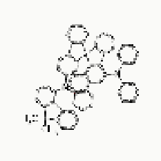 CC1(C)c2ccccc2-c2c(N(c3ccccc3)c3ccc4c(c3)C3(c5ccccc5-4)c4ccccc4-c4c(N(c5ccccc5)c5ccccc5)cc5ccccc5c43)cccc21